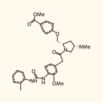 CN[C@H]1C[C@@H](COc2ccc(C(=O)OC)cc2)N(C(=O)Cc2ccc(NC(=O)Nc3ccccc3C)c(OC)c2)C1